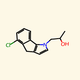 CC(O)Cn1ccc2c1-c1cccc(Cl)c1C2